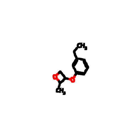 CCc1cccc(OC2COC2C)c1